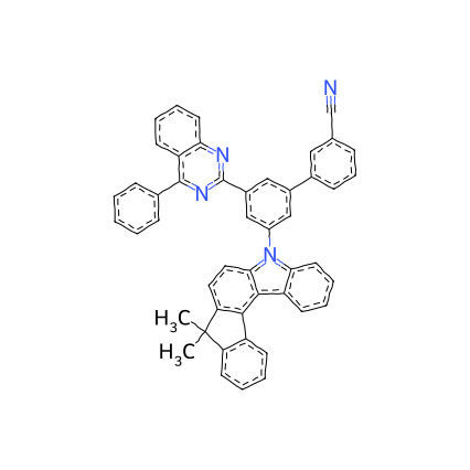 CC1(C)c2ccccc2-c2c1ccc1c2c2ccccc2n1-c1cc(-c2cccc(C#N)c2)cc(-c2nc(-c3ccccc3)c3ccccc3n2)c1